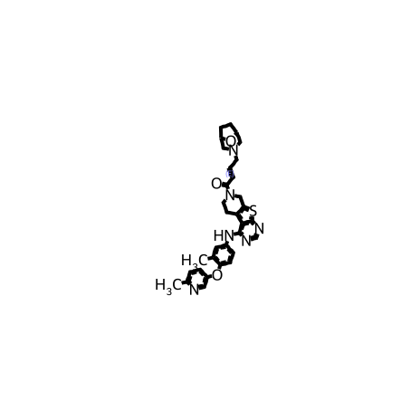 Cc1ccc(Oc2ccc(Nc3ncnc4sc5c(c34)CCN(C(=O)/C=C/CN3CC4CCC(C3)O4)C5)cc2C)cn1